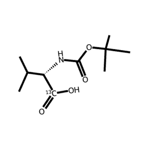 CC(C)[C@H](NC(=O)OC(C)(C)C)[13C](=O)O